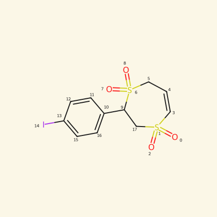 O=S1(=O)C=CCS(=O)(=O)C(c2ccc(I)cc2)C1